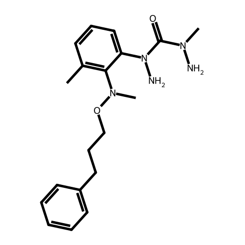 Cc1cccc(N(N)C(=O)N(C)N)c1N(C)OCCCc1ccccc1